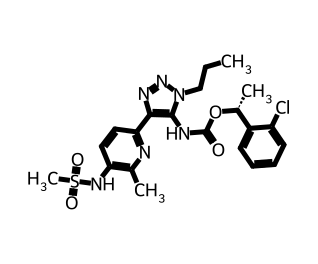 CCCn1nnc(-c2ccc(NS(C)(=O)=O)c(C)n2)c1NC(=O)O[C@H](C)c1ccccc1Cl